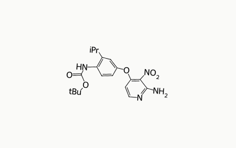 CC(C)c1cc(Oc2ccnc(N)c2[N+](=O)[O-])ccc1NC(=O)OC(C)(C)C